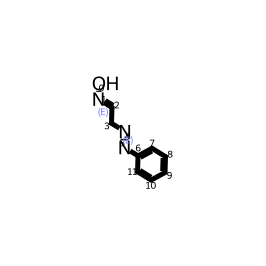 O/N=C/C/N=N/c1ccccc1